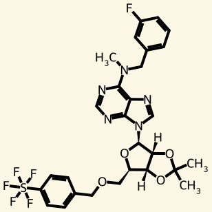 CN(Cc1cccc(F)c1)c1ncnc2c1ncn2[C@@H]1O[C@H](COCc2ccc(S(F)(F)(F)(F)F)cc2)[C@H]2OC(C)(C)O[C@H]21